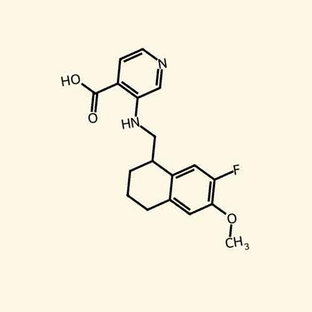 COc1cc2c(cc1F)C(CNc1cnccc1C(=O)O)CCC2